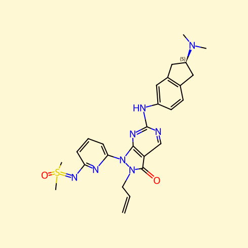 C=CCn1c(=O)c2cnc(Nc3ccc4c(c3)C[C@@H](N(C)C)C4)nc2n1-c1cccc(N=S(C)(C)=O)n1